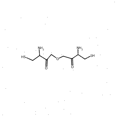 NC(CS)C(=O)COCC(=O)C(N)CS